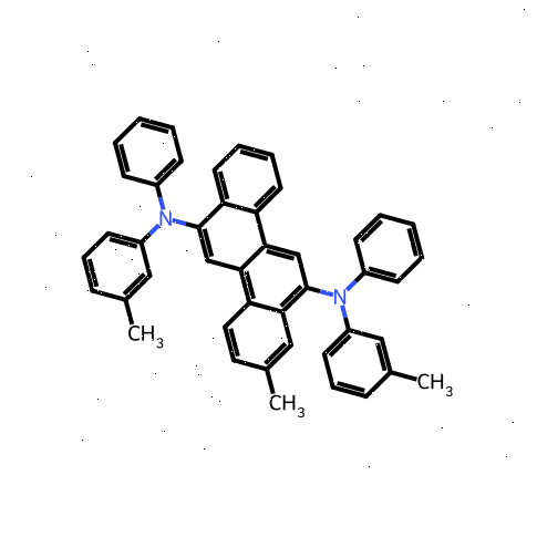 Cc1cccc(N(c2ccccc2)c2cc3c4ccc(C)cc4c(N(c4ccccc4)c4cccc(C)c4)cc3c3ccccc23)c1